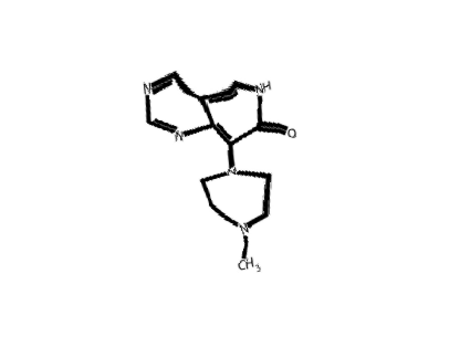 CN1CCN(c2c(=O)[nH]cc3cncnc23)CC1